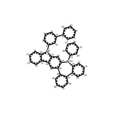 c1ccc(-c2cccc(-n3c4ccccc4c4cc5c(cc43)N(c3ccccc3)c3ccccc3-c3ccccc3-5)c2)cc1